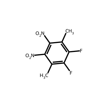 Cc1c(F)c(F)c(C)c([N+](=O)[O-])c1[N+](=O)[O-]